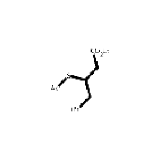 CCOC(=O)CC(CC(C)C)SC(C)=O